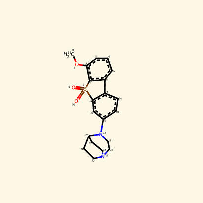 [11CH3]Oc1cccc2c1S(=O)(=O)c1cc(N3CCN4CCC3CC4)ccc1-2